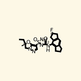 CC[C@@]1(C)Cn2ncc([S@@](N)(=O)=NC(=O)Nc3c4c(cc5c3C[C@H](F)C5)CCC4)c2O1